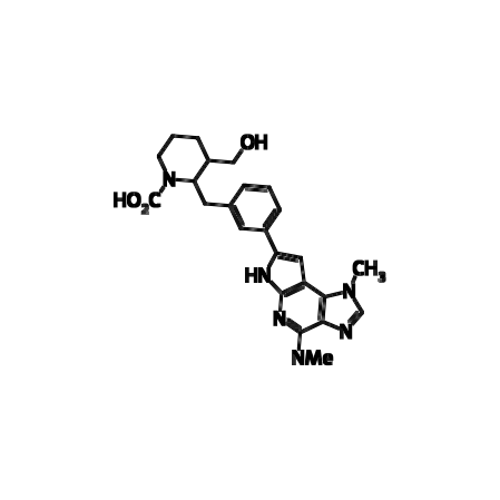 CNc1nc2[nH]c(-c3cccc(CC4C(CO)CCCN4C(=O)O)c3)cc2c2c1ncn2C